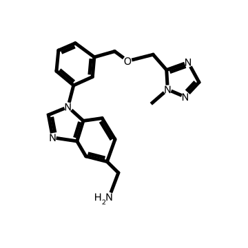 Cn1ncnc1COCc1cccc(-n2cnc3cc(CN)ccc32)c1